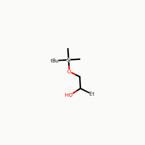 CCC(O)CO[Si](C)(C)C(C)(C)C